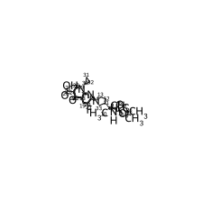 CC(C)(C)OC(=O)NC(C)(C)[C@@H]1CCN(c2nc3c(cc2F)c(=O)c(C(=O)O)cn3C2CC2)C1